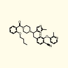 CCCCOc1ccccc1C(=O)N1CCN(C(Cc2ccc(C#N)c(Oc3cccnc3C)c2)c2cnc(C)[nH]2)CC1